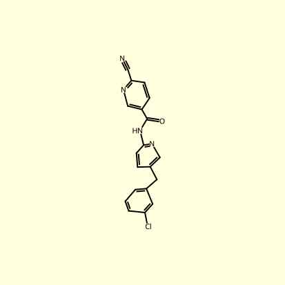 N#Cc1ccc(C(=O)Nc2ccc(Cc3cccc(Cl)c3)cn2)cn1